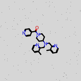 Cc1cccnc1CN(Cc1ncccc1C)C1CCN(C(=O)c2ccncc2)CC1